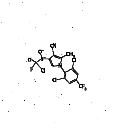 Cc1c(C#N)c([S+]([O-])C(F)(Cl)Cl)cn1-c1c(Cl)cc(C(F)(F)F)cc1Cl